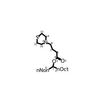 CCCCCCCCCC(CCCCCCCC)OC(=O)CCCN1CCSCC1